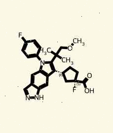 COCC(C)(C)c1c([C@@H]2CC[C@@](F)(C(=O)O)C2)c2cc3[nH]ncc3cc2n1-c1ccc(F)cc1